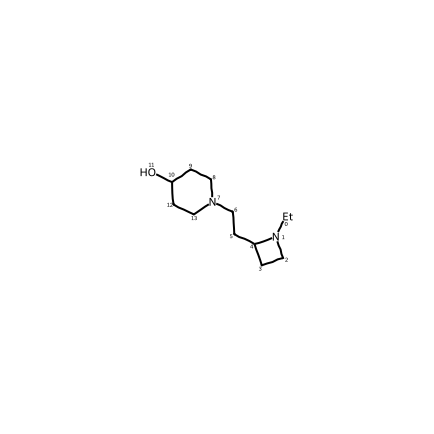 CCN1CCC1CCN1CCC(O)CC1